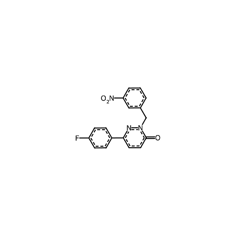 O=c1ccc(-c2ccc(F)cc2)nn1Cc1cccc([N+](=O)[O-])c1